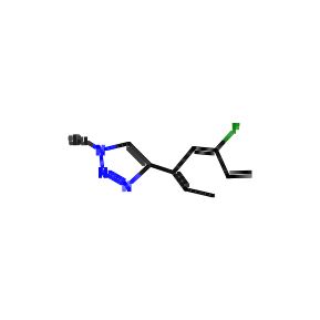 C=C/C(F)=C\C(=C/C)c1cn(C(C)(C)C)nn1